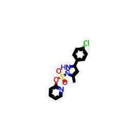 CC1=CC(c2ccc(Cl)cc2)NN1S(=O)(=O)Oc1ccccn1